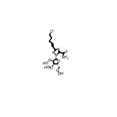 NC(=O)c1nc(C#CCCCCl)nn1[C@@H]1O[C@H](COO)[C@@H](OO)[C@H]1OO